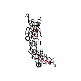 CCCN(CC(=O)N(C)[C@@H](CC(C)C)C(=O)N[C@H](COCCN(C)C)C(=O)N(C)[C@@H](Cc1ccccc1)C(=O)N(C)C(C(=O)N[C@@H](CC(=O)N[C@@H](C(=O)N(C)[C@@H](Cc1ccccc1)C(=O)N[C@@H](CC(C)C)C(=O)N(C)[C@@H](CC(C)C)C(N)=O)C(C)C)C(=O)N1CCCCC1)C(C)C)C(=O)C[C@@H](C)O